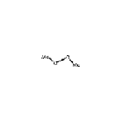 [Mo][O][O][Mo]